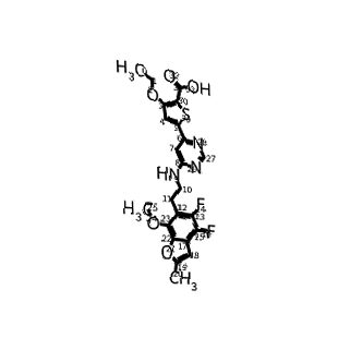 CCOc1cc(-c2cc(NCCc3c(F)c(F)c4cc(C)oc4c3OC)ncn2)sc1C(=O)O